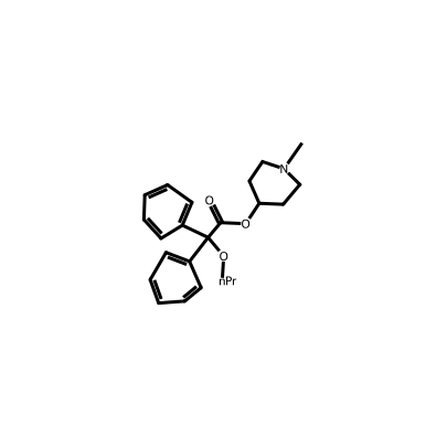 CCCOC(C(=O)OC1CCN(C)CC1)(c1ccccc1)c1ccccc1